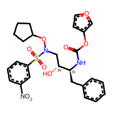 O=C(N[C@@H](Cc1ccccc1)[C@H](O)CN(OC1CCCC1)S(=O)(=O)c1cccc([N+](=O)[O-])c1)Oc1ccoc1